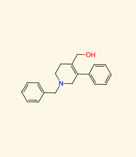 OCC1=C(c2ccccc2)CN(Cc2ccccc2)CC1